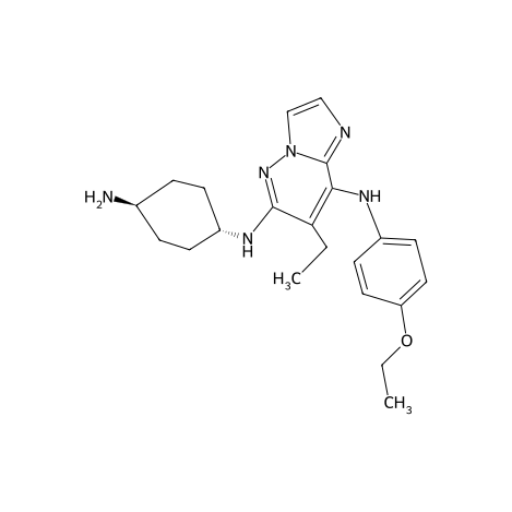 CCOc1ccc(Nc2c(CC)c(N[C@H]3CC[C@H](N)CC3)nn3ccnc23)cc1